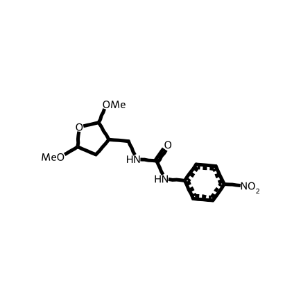 COC1CC(CNC(=O)Nc2ccc([N+](=O)[O-])cc2)C(OC)O1